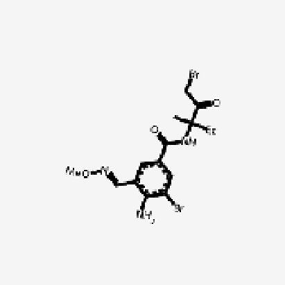 CCC(C)(NC(=O)c1cc(Br)c(N)c(/C=N/OC)c1)C(=O)CBr